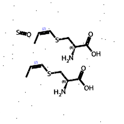 C/C=C\SC[C@H](N)C(=O)O.C/C=C\SC[C@H](N)C(=O)O.O=S